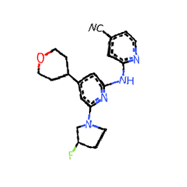 N#Cc1ccnc(Nc2cc(C3CCOCC3)cc(N3CCC(F)C3)n2)c1